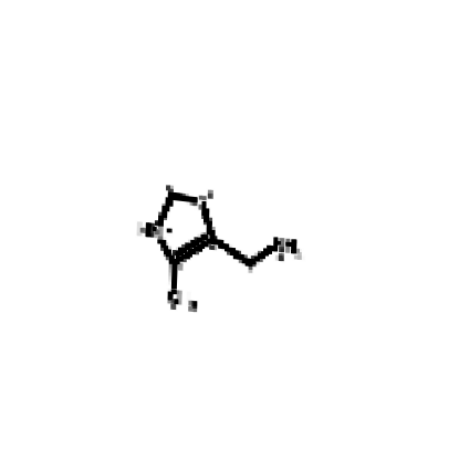 CC1=C(CN)SCN1